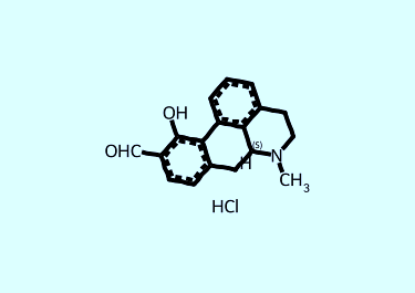 CN1CCc2cccc3c2[C@@H]1Cc1ccc(C=O)c(O)c1-3.Cl